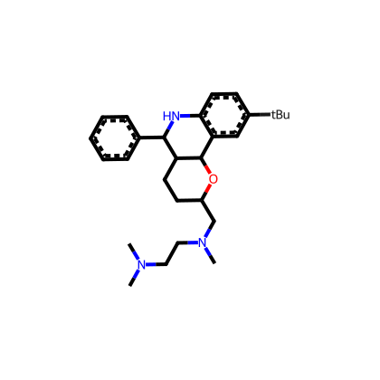 CN(C)CCN(C)CC1CCC2C(c3ccccc3)Nc3ccc(C(C)(C)C)cc3C2O1